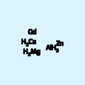 [AlH3].[CaH2].[Gd].[MgH2].[Zn]